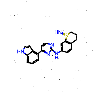 N=S1CCCc2ccc(Nc3nccc(-c4cccc5[nH]ccc45)n3)cc21